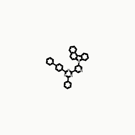 c1ccc(-c2ccc(-c3nc(-c4ccccc4)nc(-c4cncc(-n5c6ccccc6c6c7ccccc7ccc65)c4)n3)cc2)cc1